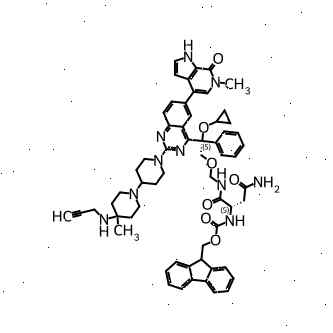 C#CCNC1(C)CCN(C2CCN(c3nc([C@@](COCNC(=O)[C@H](CC(N)=O)NC(=O)OCC4c5ccccc5-c5ccccc54)(OC4CC4)c4ccccc4)c4cc(-c5cn(C)c(=O)c6[nH]ccc56)ccc4n3)CC2)CC1